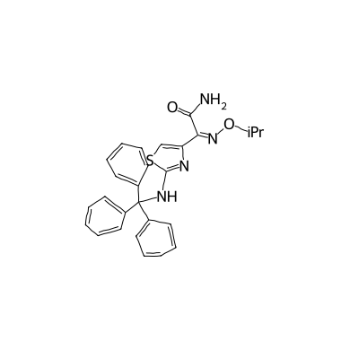 CC(C)ON=C(C(N)=O)c1csc(NC(c2ccccc2)(c2ccccc2)c2ccccc2)n1